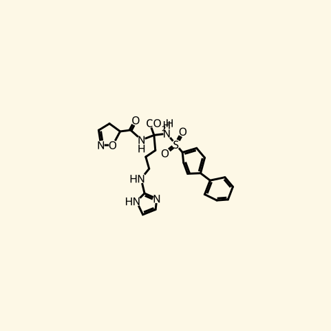 O=C(NC(CCCNc1ncc[nH]1)(NS(=O)(=O)c1ccc(-c2ccccc2)cc1)C(=O)O)C1CC=NO1